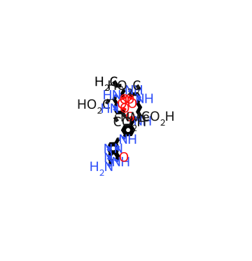 C=CC[C@H](NC(=O)[C@H](CC(=O)O)NC(=O)CC[C@H](NC(=O)c1ccc(NCc2cnc3nc(N)[nH]c(=O)c3n2)cc1)C(=O)O)C(=O)N[C@@H](CC(=O)O)C(=O)N[C@@H](CC(=O)O)C(=O)NC